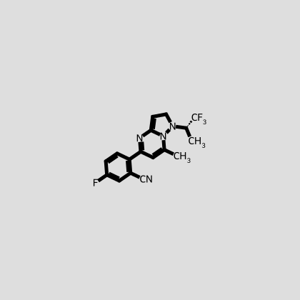 CC1=CC(c2ccc(F)cc2C#N)=NC2=CCN([C@@H](C)C(F)(F)F)N12